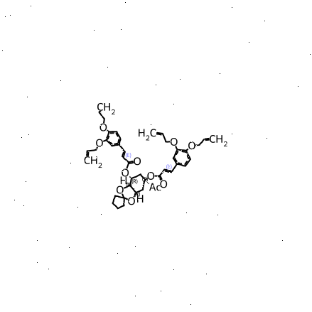 C=CCOc1ccc(/C=C/C(=O)O[C@@H]2C[C@](OC(=O)/C=C/c3ccc(OCC=C)c(OCC=C)c3)(C(C)=O)C[C@H]3OC4(CCCC4)O[C@@H]23)cc1OCC=C